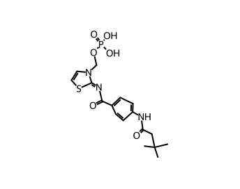 CC(C)(C)CC(=O)Nc1ccc(C(=O)N=c2sccn2COP(=O)(O)O)cc1